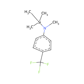 CN(c1ccc(C(F)(F)F)cc1)[Si](C)(C)C